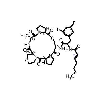 CCCC/C=C/C(=O)NC(Cc1cc(F)cc(F)c1)C(=O)N[C@H]1COC(=O)[C@@H]2CCCN2C(=O)[C@H](C)NC(=O)[C@@H]2COCCN2C(=O)[C@@H]2CCCN2C1=O